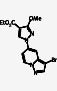 CCOC(=O)c1cn(-c2ccn3ncc(Br)c3c2)nc1OC